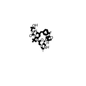 C[C@@H]1CN(CC(=O)N2CC(C)(C)c3c2cc(Cc2ccc(F)cc2)c2nn(CC(C)(C)O)c(=O)n32)[C@@H](CN2C[C@H]3C[C@@H]2CO3)CN1